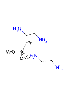 CCC[SiH](OC)OC.NCCN.NCCN